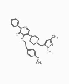 COc1ccc(CCOc2c(N3CCN(Cc4cc(C)nn4C)CC3)cnn(-c3ccccc3)c2=O)cc1